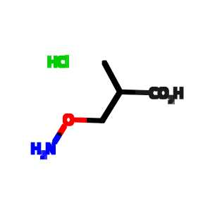 CC(CON)C(=O)O.Cl